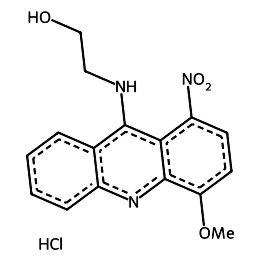 COc1ccc([N+](=O)[O-])c2c(NCCO)c3ccccc3nc12.Cl